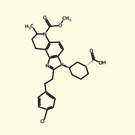 COC(=O)N1c2ccc3c(nc(CCc4ccc(Cl)cc4)n3[C@@H]3CCC[C@@H](C(=O)O)C3)c2CCC1C